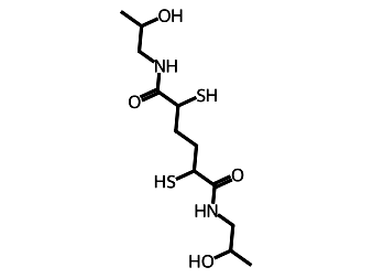 CC(O)CNC(=O)C(S)CCC(S)C(=O)NCC(C)O